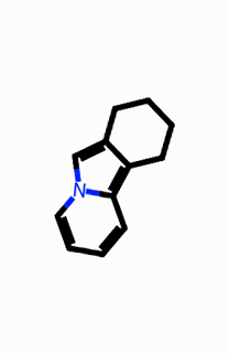 c1ccn2cc3c(c2c1)CCCC3